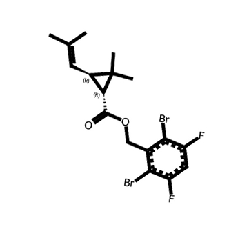 CC(C)=C[C@@H]1[C@@H](C(=O)OCc2c(Br)c(F)cc(F)c2Br)C1(C)C